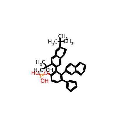 CC(C)(C)c1ccc2cc(-c3c(OP(O)O)ccc(-c4ccccc4)c3-c3ccc4ccccc4c3)c(C(C)(C)C)cc2c1